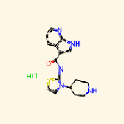 Cl.O=C(/N=c1\sccn1C1CCNCC1)c1c[nH]c2ncccc12